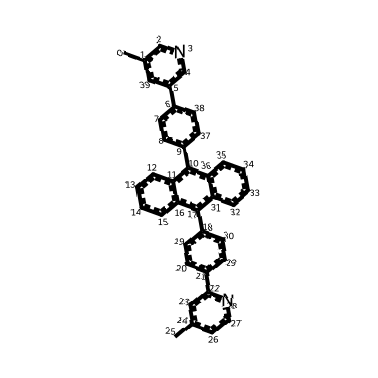 Cc1cncc(-c2ccc(-c3c4ccccc4c(-c4ccc(-c5cc(C)ccn5)cc4)c4ccccc34)cc2)c1